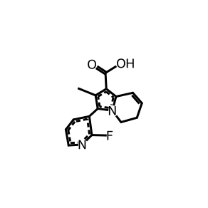 Cc1c(C(=O)O)c2n(c1-c1cccnc1F)CCC=C2